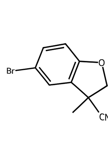 CC1(C#N)COc2ccc(Br)cc21